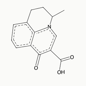 CC1CCc2cccc3c(=O)c(C(=O)O)cn1c23